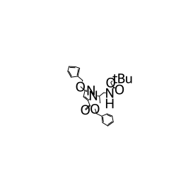 CC(CNC(=O)OC(C)(C)C)n1nc(OCc2ccccc2)cc1C(=O)OCc1ccccc1